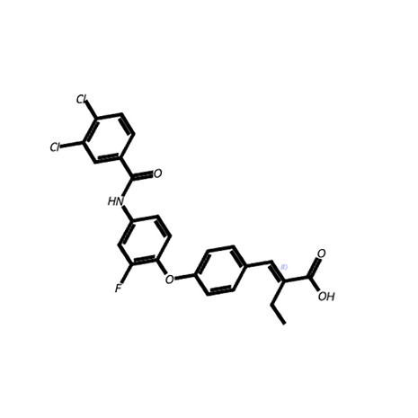 CC/C(=C\c1ccc(Oc2ccc(NC(=O)c3ccc(Cl)c(Cl)c3)cc2F)cc1)C(=O)O